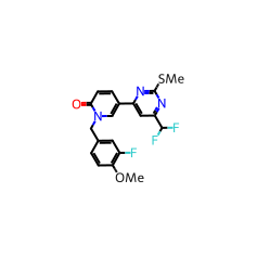 COc1ccc(Cn2cc(-c3cc(C(F)F)nc(SC)n3)ccc2=O)cc1F